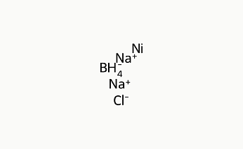 [BH4-].[Cl-].[Na+].[Na+].[Ni]